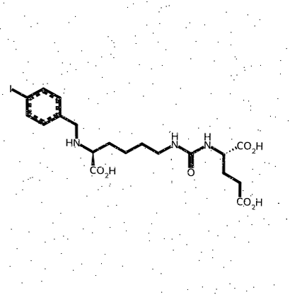 O=C(O)CC[C@H](NC(=O)NCCCC[C@H](NCc1ccc(I)cc1)C(=O)O)C(=O)O